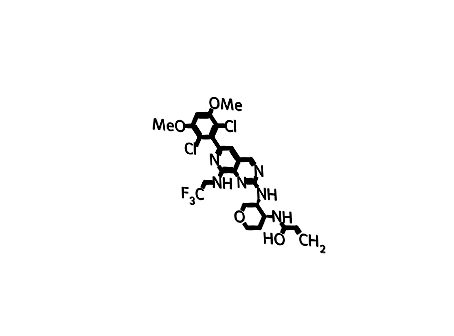 C=CC(O)N[C@H]1CCOC[C@H]1Nc1ncc2cc(-c3c(Cl)c(OC)cc(OC)c3Cl)nc(NCC(F)(F)F)c2n1